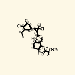 CCOC(C)C(=O)Nc1c(F)ccc(NC(=O)C2[C@H](c3cc(Cl)c(Cl)c(CC)c3)C2(Cl)Cl)c1F